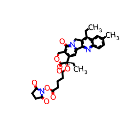 CCc1c2c(nc3ccc(C)cc13)-c1cc3c(c(=O)n1C2)COC(=O)[C@@]3(CC)OC(=O)CCCC(=O)ON1C(=O)CCC1=O